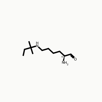 CCC(C)(C)NCCCC[C@H](N)C=O